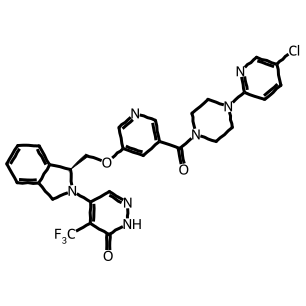 O=C(c1cncc(OC[C@@H]2c3ccccc3CN2c2cn[nH]c(=O)c2C(F)(F)F)c1)N1CCN(c2ccc(Cl)cn2)CC1